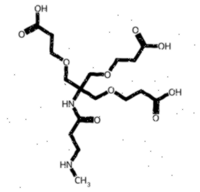 CNCCC(=O)NC(COCCC(=O)O)(COCCC(=O)O)COCCC(=O)O